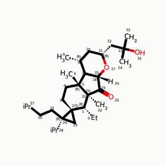 CC[C@@H]1[C@]2(CC[C@]3(C)C4[C@H](C)C[C@H](CC(C)(C)O)O[C@@H]4C(=O)[C@@]13C)C[C@]2(CCC(C)C)C(C)C